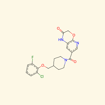 O=C1COc2ncc(C(=O)N3CCC(COc4c(F)cccc4Cl)CC3)cc2N1